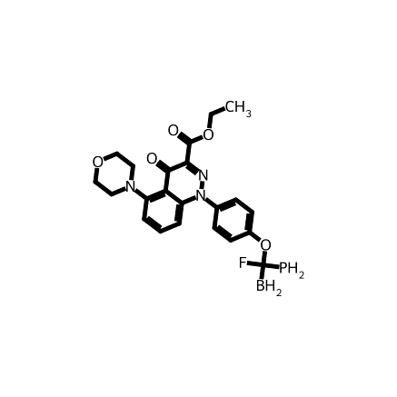 BC(F)(P)Oc1ccc(-n2nc(C(=O)OCC)c(=O)c3c(N4CCOCC4)cccc32)cc1